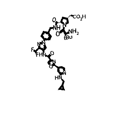 CC(C)(C)[C@H](N)C(=O)N1C[C@@H](CC(=O)O)C[C@H]1C(=O)NCc1ccc(-n2cc(NC(=O)c3coc(-c4ccnc(NCC5CC5)c4)n3)c(C(F)F)n2)cc1